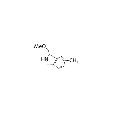 COCC1NCc2ccc(C)cc21